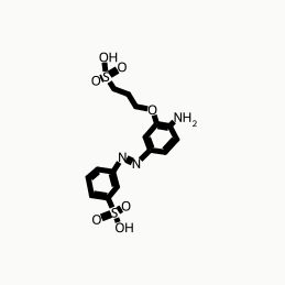 Nc1ccc(N=Nc2cccc(S(=O)(=O)O)c2)cc1OCCCS(=O)(=O)O